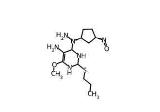 CCCSC1NC(OC)=C(N)C(N(N)[C@H]2CC[C@@H](N=O)C2)N1